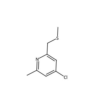 CSCc1cc(Cl)cc(C)n1